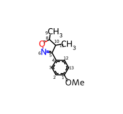 COc1ccc(C2=NOC(C)C2C)cc1